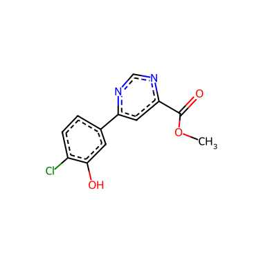 COC(=O)c1cc(-c2ccc(Cl)c(O)c2)ncn1